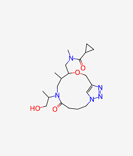 CC1CN(C(C)CO)C(=O)CCCn2cc(nn2)COC1CN(C)C(=O)C1CC1